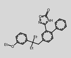 C[CH]C(CC)(Cc1ccc(-c2ccccc2)c(-c2noc(=O)[nH]2)c1)c1cccc(OCC)c1